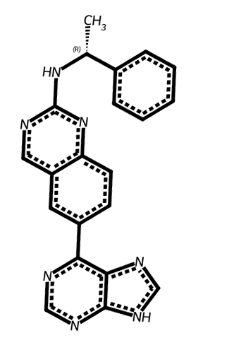 C[C@@H](Nc1ncc2cc(-c3ncnc4[nH]cnc34)ccc2n1)c1ccccc1